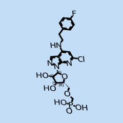 O=P(O)(O)COC[C@H]1O[C@@H](n2ncc3c(NCCc4ccc(F)cc4)cc(Cl)nc32)[C@H](O)[C@@H]1O